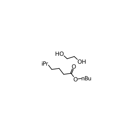 CCCCOC(=O)CCCC(C)C.OCCO